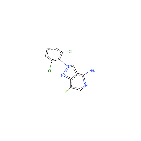 Nc1ncc(F)c2nn(-c3c(Cl)cccc3Cl)cc12